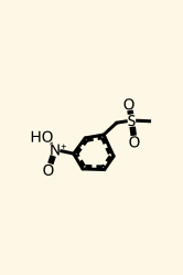 CS(=O)(=O)Cc1cccc([N+](=O)O)c1